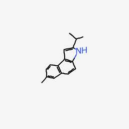 Cc1ccc2c(ccc3[nH]c(C(C)C)cc32)c1